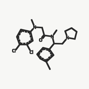 Cc1cccc(C(CN2CCCC2)N(C)C(=O)CN(C)c2ccc(Cl)c(Cl)c2)c1